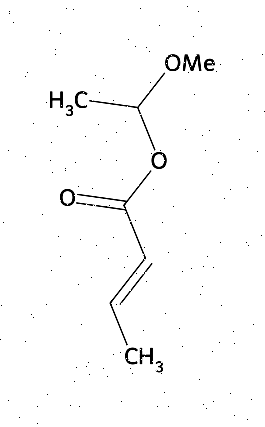 C/C=C/C(=O)OC(C)OC